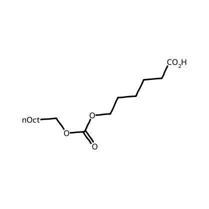 CCCCCCCCCOC(=O)OCCCCCC(=O)O